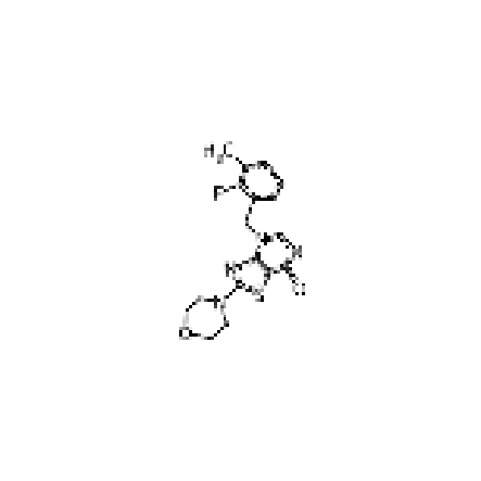 Cc1cccc(Cn2cnc(=O)c3sc(N4CCOCC4)nc32)c1F